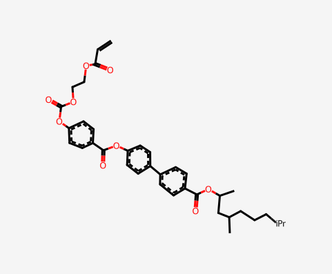 C=CC(=O)OCCOC(=O)Oc1ccc(C(=O)Oc2ccc(-c3ccc(C(=O)OC(C)CC(C)CCCC(C)C)cc3)cc2)cc1